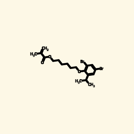 C=C(C)C(=O)OCCCCCCOc1c(Br)cc(Br)cc1C(C)C